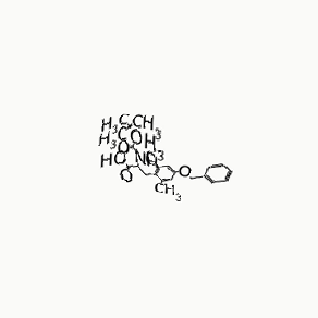 Cc1cc(OCc2ccccc2)cc(C)c1CC(NC(=O)OC(C)(C)C)C(=O)O